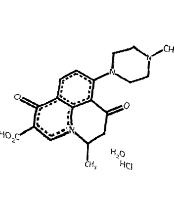 CC1CC(=O)c2c(N3CCN(C)CC3)ccc3c(=O)c(C(=O)O)cn1c23.Cl.O